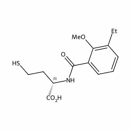 CCc1cccc(C(=O)N[C@@H](CCS)C(=O)O)c1OC